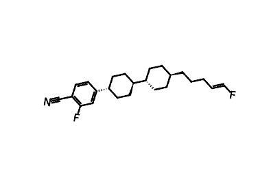 N#Cc1ccc([C@H]2CC[C@H]([C@H]3CC[C@H](CCC/C=C/F)CC3)CC2)cc1F